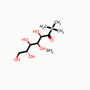 C[Si](C)(C)C(=O)[C@H](O)[C@@H](O)[C@H](O)[C@H](O)CO.[SiH4]